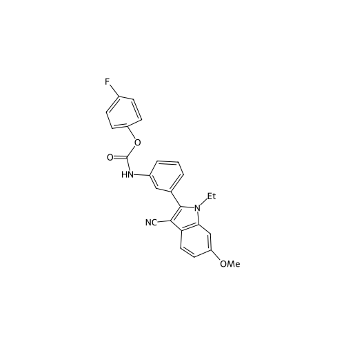 CCn1c(-c2cccc(NC(=O)Oc3ccc(F)cc3)c2)c(C#N)c2ccc(OC)cc21